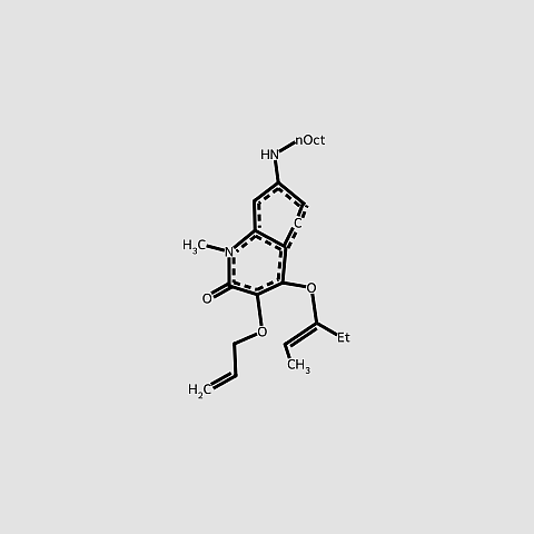 C=CCOc1c(OC(=CC)CC)c2ccc(NCCCCCCCC)cc2n(C)c1=O